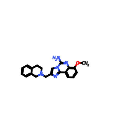 COc1cccc2c1nc(N)n1cc(CN3CCc4ccccc4C3)nc21